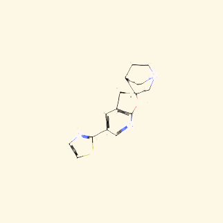 c1csc(-c2cnc3c(c2)C[C@@]2(CN4CCC2CC4)O3)n1